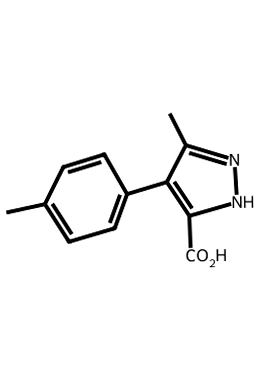 Cc1ccc(-c2c(C)n[nH]c2C(=O)O)cc1